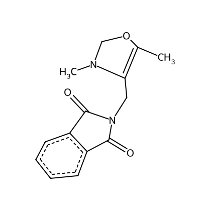 CC1=C(CN2C(=O)c3ccccc3C2=O)N(C)CO1